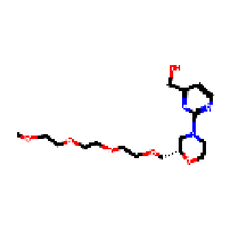 COCCOCCOCCOC[C@@H]1CN(c2nccc(CO)n2)CCO1